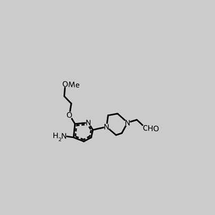 COCCOc1nc(N2CCN(CC=O)CC2)ccc1N